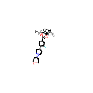 CC1(C)OB(c2ccc(C3CCN(C4CCOCC4)CC3)c(F)c2)OC1(C)C